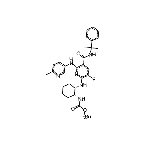 Cc1ccc(Nc2nc(N[C@H]3CCCC[C@H]3NC(=O)OC(C)(C)C)c(F)cc2C(=O)NC(C)(C)c2ccccc2)cn1